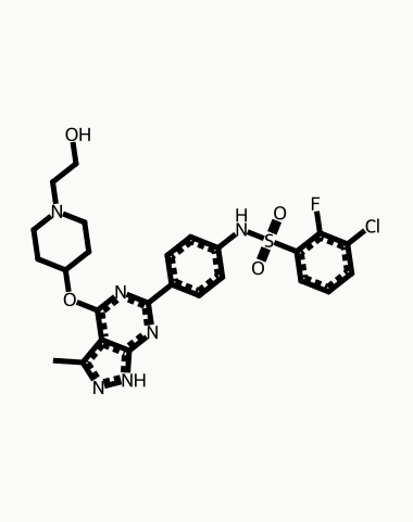 Cc1n[nH]c2nc(-c3ccc(NS(=O)(=O)c4cccc(Cl)c4F)cc3)nc(OC3CCN(CCO)CC3)c12